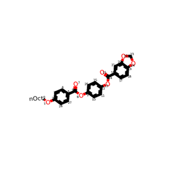 CCCCCCCCOc1ccc(C(=O)Oc2ccc(OC(=O)c3ccc4c(c3)OCO4)cc2)cc1